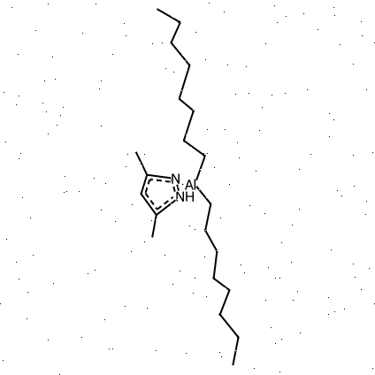 CCCCCCC[CH2][Al][CH2]CCCCCCC.Cc1cc(C)[nH]n1